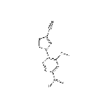 COc1cc([N+](=O)[O-])ccc1-n1cnc(C#N)c1